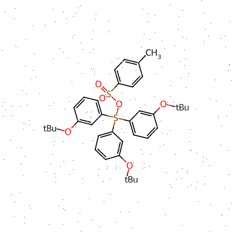 Cc1ccc(S(=O)(=O)OS(c2cccc(OC(C)(C)C)c2)(c2cccc(OC(C)(C)C)c2)c2cccc(OC(C)(C)C)c2)cc1